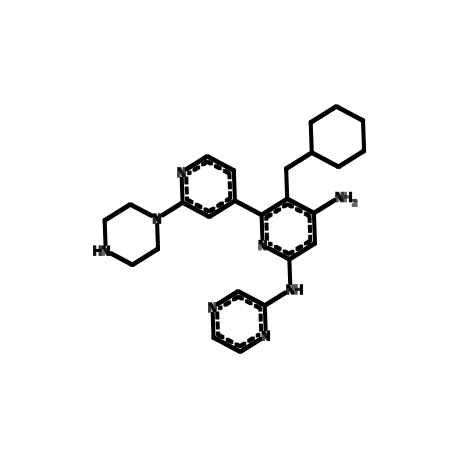 Nc1cc(Nc2cnccn2)nc(-c2ccnc(N3CCNCC3)c2)c1CC1CCCCC1